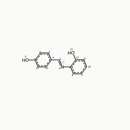 Oc1ccc(/C=N/c2ccccc2O)cc1